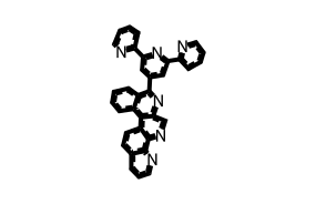 c1ccc(-c2cc(-c3nc4cnc5c(ccc6cccnc65)c4c4ccccc34)cc(-c3ccccn3)n2)nc1